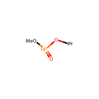 CO[PH](=O)OC(C)C